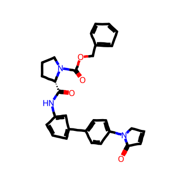 O=C(Nc1cccc(-c2ccc(N3CC=CC3=O)cc2)c1)[C@@H]1CCCN1C(=O)OCc1ccccc1